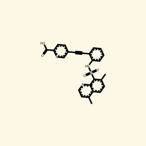 Cc1ccc2c(C)ccnc2c1S(=O)(=O)Nc1ccccc1C#Cc1ccc(C(=O)O)nc1